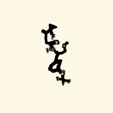 COCC(NC(=O)CC(C)C1(F)CC1)c1cccc(OC(F)(F)F)c1